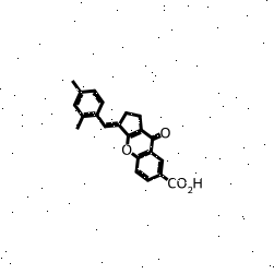 Cc1ccc(/C=C2\CCc3c2oc2ccc(C(=O)O)cc2c3=O)c(C)c1